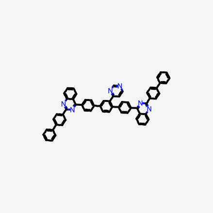 c1ccc(-c2ccc(-c3nc(-c4ccc(-c5ccc(-c6ccc(-c7nc(-c8ccc(-c9ccccc9)cc8)nc8ccccc78)cc6)c(-c6ccncn6)c5)cc4)c4ccccc4n3)cc2)cc1